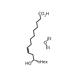 CCCCCC[C@@H](O)C/C=C\CCCCCCCC(=O)O.CCOCC